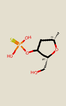 C[C@H]1CC(OP(O)(O)=S)[C@@H](CO)O1